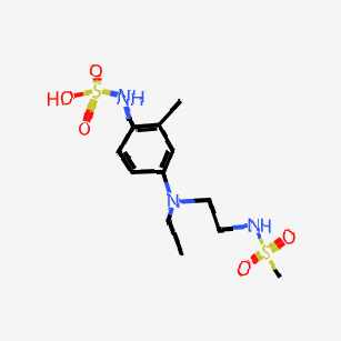 CCN(CCNS(C)(=O)=O)c1ccc(NS(=O)(=O)O)c(C)c1